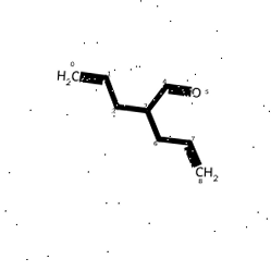 C=CCC(C=O)CC=C